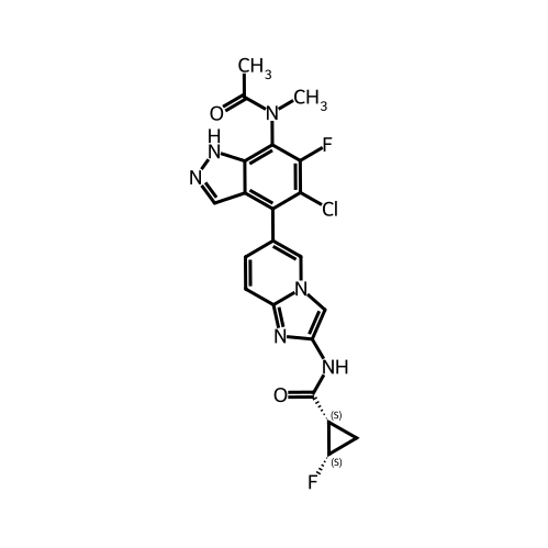 CC(=O)N(C)c1c(F)c(Cl)c(-c2ccc3nc(NC(=O)[C@@H]4C[C@@H]4F)cn3c2)c2cn[nH]c12